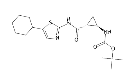 CC(C)(C)OC(=O)N[C@@H]1C[C@H]1C(=O)Nc1ncc(C2CCCCC2)s1